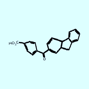 O=C(O)c1ccc(C(=O)C2=CC3Cc4ccccc4C3C=C2)cc1